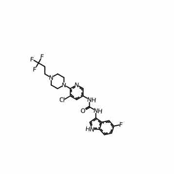 O=C(Nc1cnc(N2CCN(CCC(F)(F)F)CC2)c(Cl)c1)Nc1c[nH]c2ccc(F)cc12